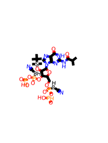 CC(C)C(=O)Nc1nc2c(ncn2C2OC(COP(=O)(BC#N)O[PH](=O)O)C(OP(=O)(BC#N)O[PH](=O)O)C2O[Si](C)(C)C(C)(C)C)c(=O)[nH]1